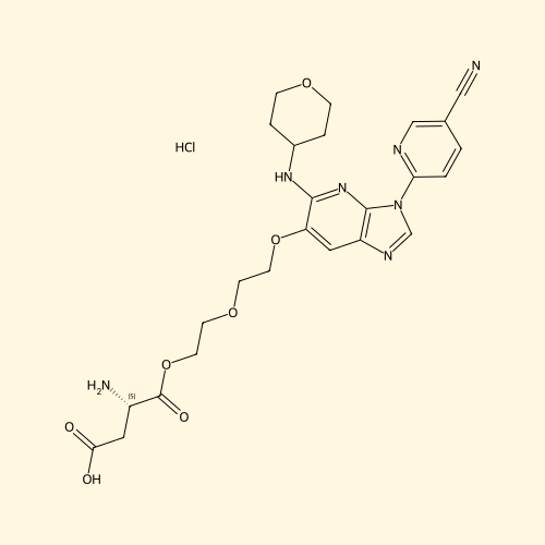 Cl.N#Cc1ccc(-n2cnc3cc(OCCOCCOC(=O)[C@@H](N)CC(=O)O)c(NC4CCOCC4)nc32)nc1